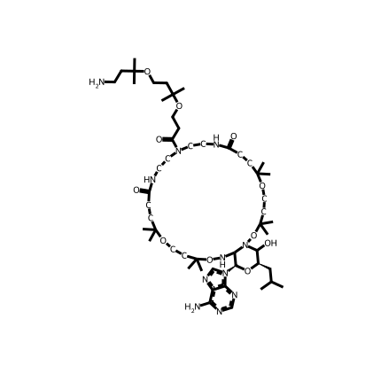 CC(C)C[C@H]1O[C@@H](n2cnc3c(N)ncnc32)C2NOC(C)(C)CCOC(C)(C)CCC(=O)NCCN(C(=O)CCOC(C)(C)CCOC(C)(C)CCN)CCNC(=O)CCC(C)(C)OCCC(C)(C)ON2C1O